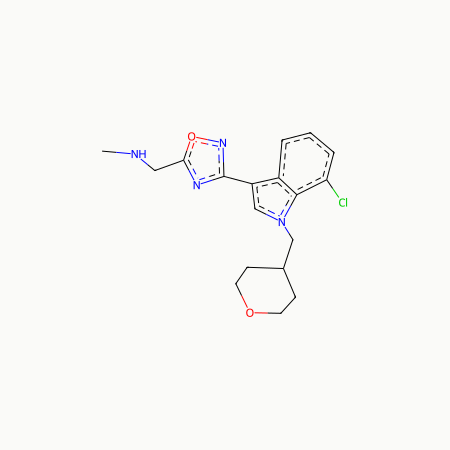 CNCc1nc(-c2cn(CC3CCOCC3)c3c(Cl)cccc23)no1